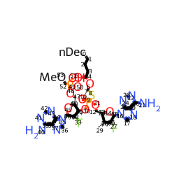 CCCCCCCCCCCCCC(=O)OCSP(=O)(OC[C@H]1O[C@@H](n2cnc3c(N)ncnc32)[C@H](F)[C@@H]1C)O[C@H]1[C@@H](F)[C@H](n2cnc3c(N)ncnc32)O[C@@H]1COP(=O)(O)COC